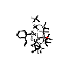 C=Cc1ccccc1[Si](O[Si](O[Si](C)(C)C)(O[Si](C)(C)C)O[Si](C)(C)C)(O[Si](O[Si](C)(C)C)(O[Si](C)(C)C)O[Si](C)(C)C)O[Si](O[Si](C)(C)C)(O[Si](C)(C)C)O[Si](C)(C)C